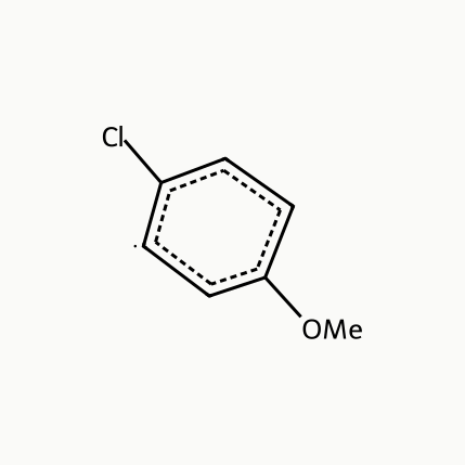 COc1c[c]c(Cl)cc1